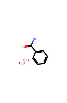 NC(=O)c1ccccc1.O.O